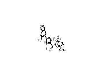 C=C(c1ncc(-c2cc3ccncc3cc2O)nn1)[C@H]1C[C@]2(C)C=C[C@@](C)(N2)[C@@H]1F